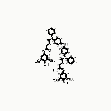 CC(C)(C)c1cc(SC(=O)CCC(=O)N(c2ccccc2)c2ccc(Nc3ccc(N(C(=O)CCC(O)Sc4cc(C(C)(C)C)c(O)c(C(C)(C)C)c4)c4ccccc4)cc3)cc2)cc(C(C)(C)C)c1O